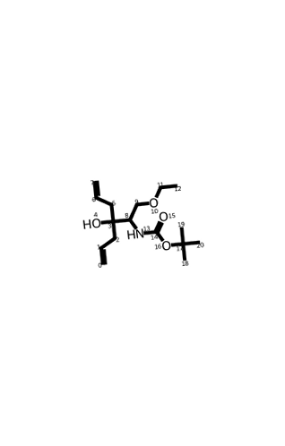 C=CCC(O)(CC=C)C(COCC)NC(=O)OC(C)(C)C